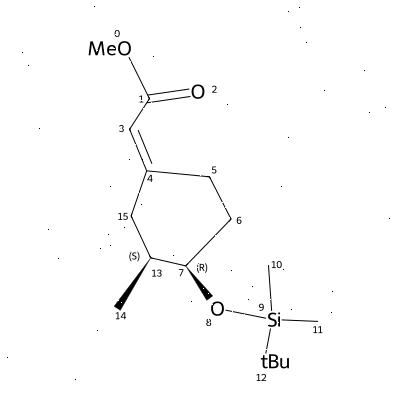 COC(=O)C=C1CC[C@@H](O[Si](C)(C)C(C)(C)C)[C@@H](C)C1